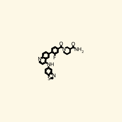 NC(=O)C1CCCN(C(=O)c2ccc(-c3ccc4nccc(Nc5ccc6scnc6c5)c4c3)c(F)c2)C1